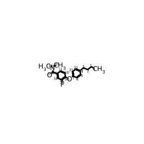 CCCCc1ccc(Oc2ccc(C(=O)N(C)C)cc2F)cc1